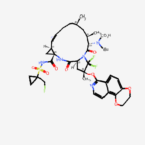 CCC(C)N(C(=O)O)[C@@H]1C(=O)N2[C@@H](C[C@@](C)(Oc3nccc4c5c(ccc34)OCCO5)C2(F)F)C(=O)N[C@]2(C(=O)NS(=O)(=O)C3(CF)CC3)C[C@H]2/C=C\CC[C@@H](C)C[C@H]1C